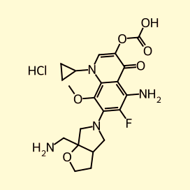 COc1c(N2CC3CCOC3(CN)C2)c(F)c(N)c2c(=O)c(OC(=O)O)cn(C3CC3)c12.Cl